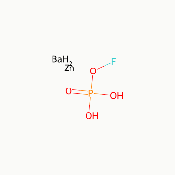 O=P(O)(O)OF.[BaH2].[Zn]